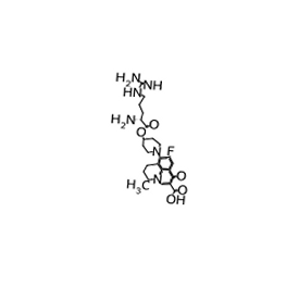 CC1CCc2c(N3CCC(OC(=O)[C@H](N)CCCNC(=N)N)CC3)c(F)cc3c(=O)c(C(=O)O)cn1c23